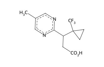 Cc1cnc(C(CC(=O)O)C2(C(F)(F)F)CC2)nc1